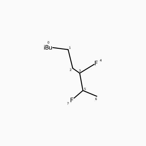 CCC(C)CCC(F)C(C)F